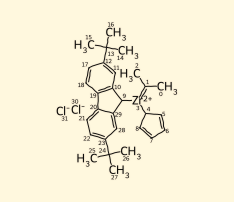 C[C](C)=[Zr+2]([CH]1C=CC=C1)[CH]1c2cc(C(C)(C)C)ccc2-c2ccc(C(C)(C)C)cc21.[Cl-].[Cl-]